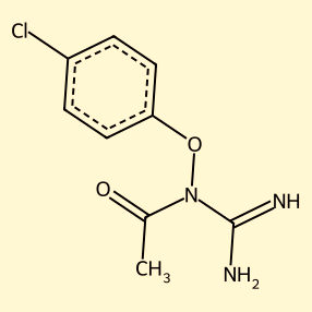 CC(=O)N(Oc1ccc(Cl)cc1)C(=N)N